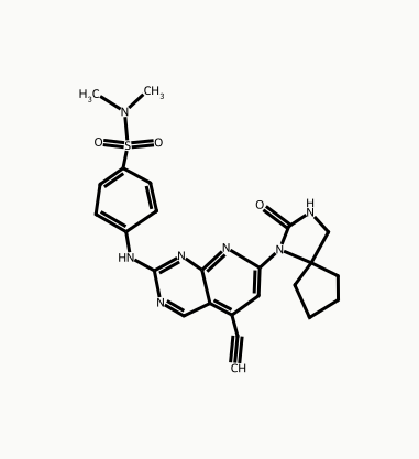 C#Cc1cc(N2C(=O)NCC23CCCC3)nc2nc(Nc3ccc(S(=O)(=O)N(C)C)cc3)ncc12